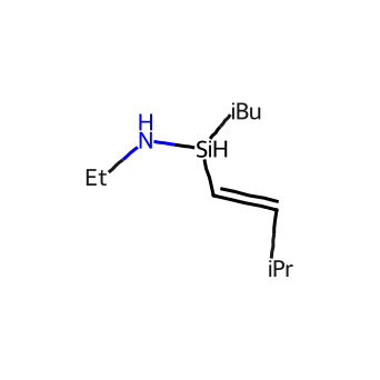 CCN[SiH](C=CC(C)C)C(C)CC